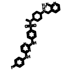 CN(C1CCC(NCc2cccnc2N)CC1)S(=O)(=O)c1ccc(Nc2nccc(Nc3ccc(F)cc3)n2)cc1